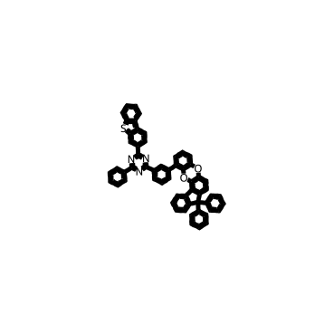 c1ccc(-c2nc(-c3cccc(-c4cccc5c4Oc4c(ccc6c4-c4ccccc4C6(c4ccccc4)c4ccccc4)O5)c3)nc(-c3ccc4c(c3)sc3ccccc34)n2)cc1